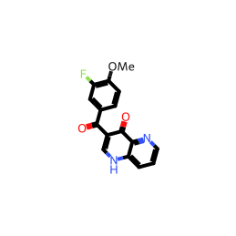 COc1ccc(C(=O)c2c[nH]c3cccnc3c2=O)cc1F